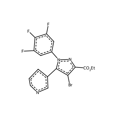 CCOC(=O)c1nn(-c2cc(F)c(F)c(F)c2)c(-c2cccnc2)c1Br